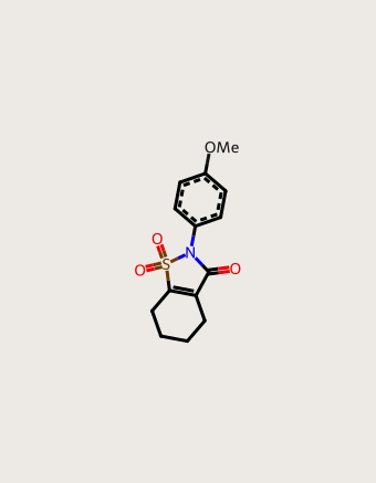 COc1ccc(N2C(=O)C3=C(CCCC3)S2(=O)=O)cc1